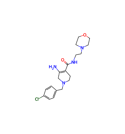 NC1=C(C(=O)NCCN2CCOCC2)CCN(Cc2ccc(Cl)cc2)C1